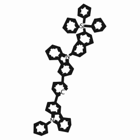 c1ccc(-n2c3ccccc3c3cc(-c4ccc(-c5ccc6c(c5)c5ccccc5n6-c5ccc6ccc([Si](c7ccccc7)(c7ccccc7)c7ccccc7)cc6c5)cc4)ccc32)cc1